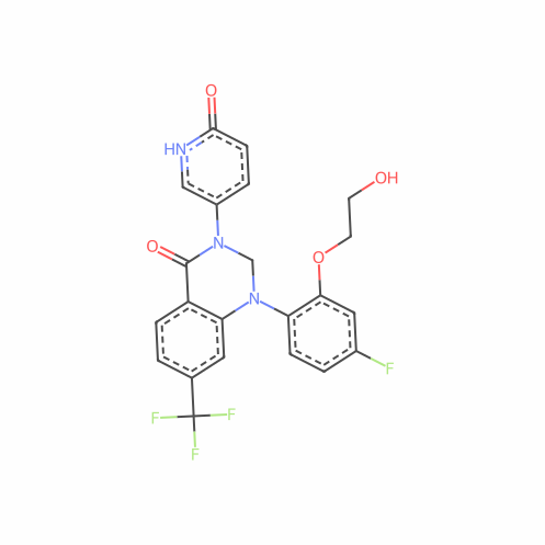 O=C1c2ccc(C(F)(F)F)cc2N(c2ccc(F)cc2OCCO)CN1c1ccc(=O)[nH]c1